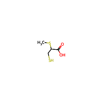 CSC(CS)C(=O)O